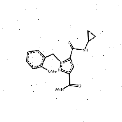 CNC(=O)c1cc(C(=O)NC2CC2)n(Cc2ccccc2OC)n1